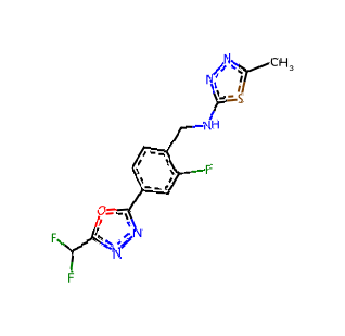 Cc1nnc(NCc2ccc(-c3nnc(C(F)F)o3)cc2F)s1